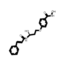 O=C(/C=C/c1ccccc1)N[C@@H](O)CCOc1ccc(C(=O)NO)cc1